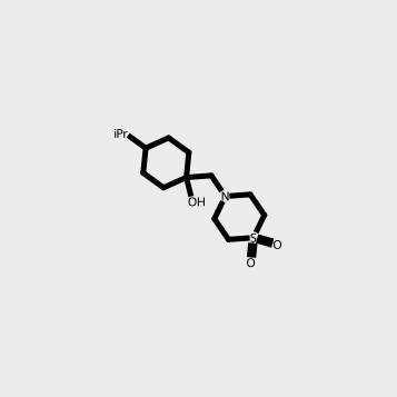 CC(C)C1CCC(O)(CN2CCS(=O)(=O)CC2)CC1